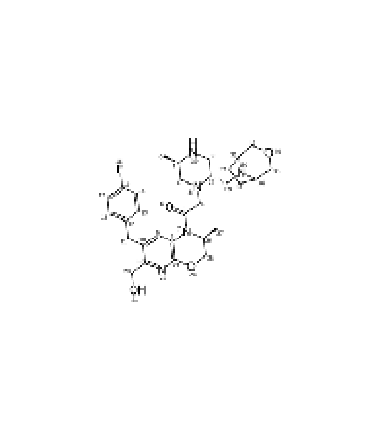 C[C@@H]1CN(CC(=O)N2c3cc(Cc4ccc(F)cc4)c(CO)nc3OC[C@@H]2C)[C@@H](CN2C3CCC2COC3)CN1